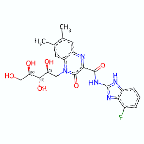 Cc1cc2nc(C(=O)Nc3nc4c(F)cccc4[nH]3)c(=O)n(C[C@H](O)[C@H](O)[C@H](O)CO)c2cc1C